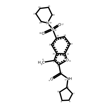 Cc1c(C(=O)NC2CCCC2)oc2ccc(S(=O)(=O)N3CCCCC3)cc12